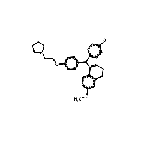 COc1ccc2c(c1)CCC1=C2C(c2ccc(OCCN3CCCC3)cc2)c2ccc(O)cc21